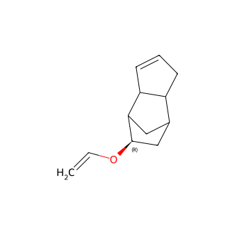 C=CO[C@@H]1CC2CC1C1C=CCC21